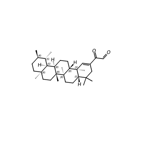 C[C@@H]1[C@H]2[C@H]3CC[C@@H]4[C@@]5(C)C=C(C(=O)C=O)CC(C)(C)[C@@H]5CC[C@@]4(C)[C@]3(C)CC[C@@]2(C)CC[C@H]1C